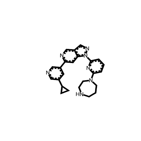 c1cc(N2CCCNCC2)nc(-n2ncc3cnc(-c4cncc(C5CC5)c4)cc32)c1